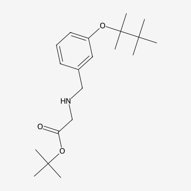 CC(C)(C)OC(=O)CNCc1cccc(OC(C)(C)C(C)(C)C)c1